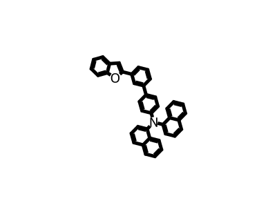 c1cc(-c2ccc(N(c3cccc4ccccc34)c3cccc4ccccc34)cc2)cc(-c2cc3ccccc3o2)c1